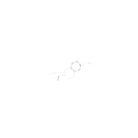 COc1cc2c(cc1C)CN(C(=O)CC(C)(C)C)CC2